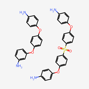 Nc1ccc(Oc2ccc(Oc3cccc(N)c3)cc2)cc1.Nc1ccc(Oc2ccc(S(=O)(=O)c3ccc(Oc4ccc(N)cc4)cc3)cc2)cc1